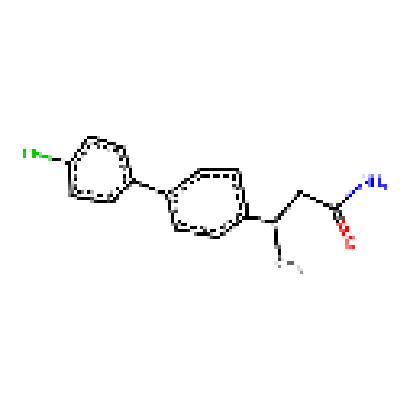 CC(CC(N)=O)c1ccc(-c2ccc(Cl)cc2)cc1